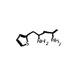 CC(N)CC(N)Cc1cccs1